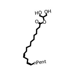 CCCCC/C=C\C/C=C\CCCCCCCCCC(=O)OC(CO)CO